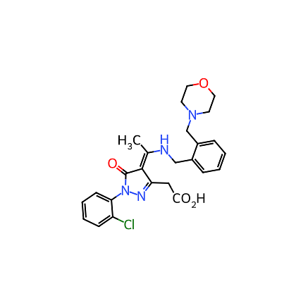 C/C(NCc1ccccc1CN1CCOCC1)=C1\C(=O)N(c2ccccc2Cl)N=C1CC(=O)O